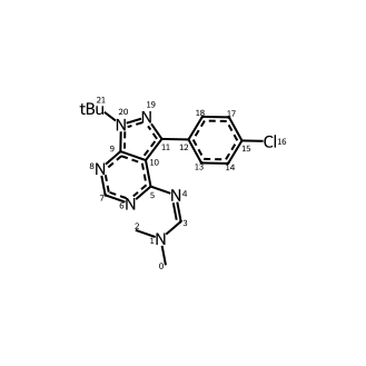 CN(C)/C=N\c1ncnc2c1c(-c1ccc(Cl)cc1)nn2C(C)(C)C